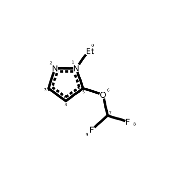 CCn1n[c]cc1OC(F)F